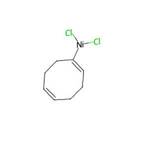 [Cl][Ni]([Cl])[C]1=CCCC=CCC1